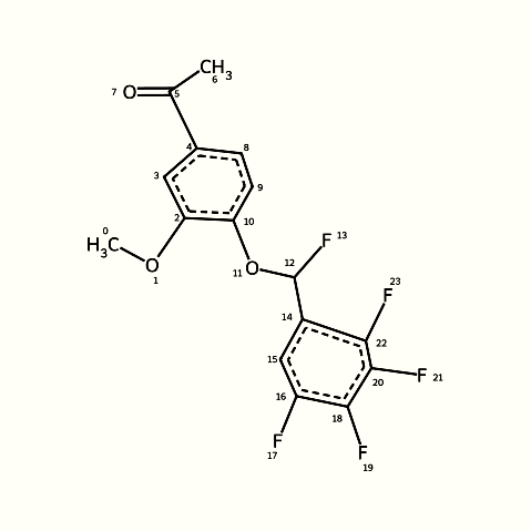 COc1cc(C(C)=O)ccc1OC(F)c1cc(F)c(F)c(F)c1F